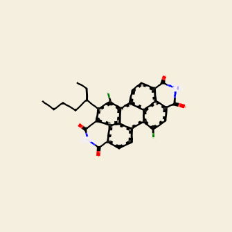 CCCCC(CC)c1c2c3c(ccc4c5c(Br)cc6c7c(ccc(c(c1Br)c34)c75)C(=O)NC6=O)C(=O)NC2=O